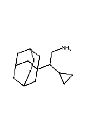 NCC(C1CC1)C12CC3CC(CC(C3)C1)C2